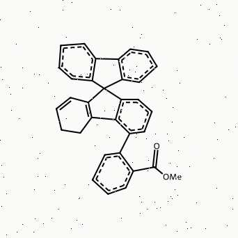 COC(=O)c1ccccc1-c1cccc2c1C1=C(C=CCC1)C21c2ccccc2-c2ccccc21